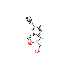 COc1ccc(CC(O)CO)c([N+](=O)[O-])c1